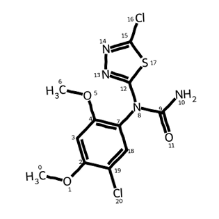 COc1cc(OC)c(N(C(N)=O)c2nnc(Cl)s2)cc1Cl